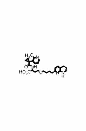 Cc1ncccc1C1(C(=O)NC(CCOCCCCc2ccc3c(n2)NCCC3)C(=O)O)CC1